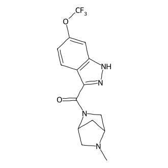 CN1CC2CC1CN2C(=O)c1n[nH]c2cc(OC(F)(F)F)ccc12